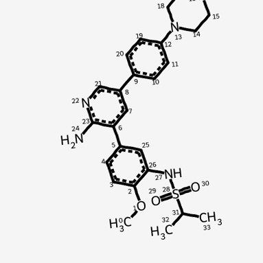 COc1ccc(-c2cc(-c3ccc(N4CCNCC4)cc3)cnc2N)cc1NS(=O)(=O)C(C)C